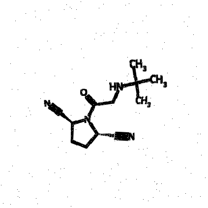 CC(C)(C)NCC(=O)N1[C@H](C#N)CC[C@H]1C#N